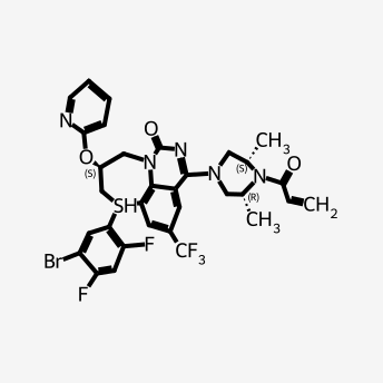 C=CC(=O)N1[C@H](C)CN(c2nc(=O)n3c4c(cc(C(F)(F)F)cc24)[SH](c2cc(Br)c(F)cc2F)C[C@@H](Oc2ccccn2)C3)C[C@@H]1C